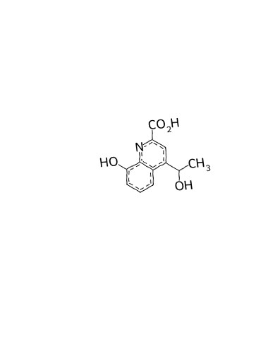 CC(O)c1cc(C(=O)O)nc2c(O)cccc12